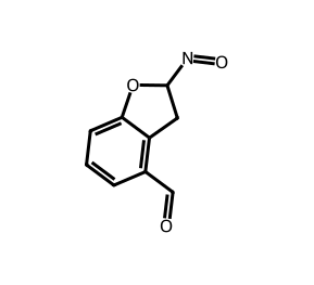 O=Cc1cccc2c1CC(N=O)O2